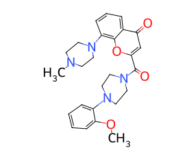 COc1ccccc1N1CCN(C(=O)c2cc(=O)c3cccc(N4CCN(C)CC4)c3o2)CC1